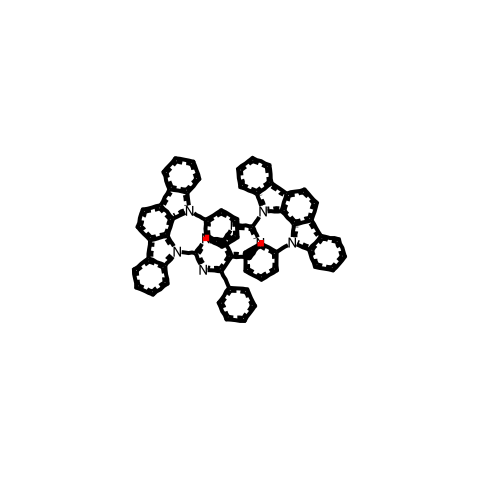 c1ccc(-c2nc(-n3c4ccccc4c4ccc5c6ccccc6n(-c6ccccc6)c5c43)nc3nc(-n4c5ccccc5c5ccc6c7ccccc7n(-c7ccccc7)c6c54)ncc23)cc1